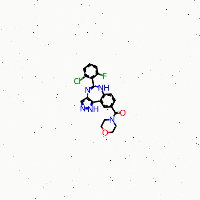 O=C(c1ccc2c(c1)-c1[nH]ncc1N=C(c1c(F)cccc1Cl)N2)N1CCOCC1